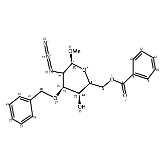 CO[C@H]1OC(COC(=O)c2ccccc2)[C@@H](O)[C@@H](OCc2ccccc2)C1N=[N+]=[N-]